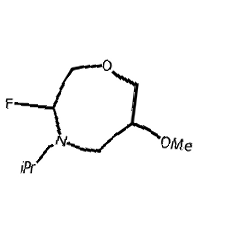 COC1COCC(F)N(C(C)C)C1